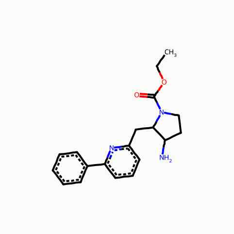 CCOC(=O)N1CCC(N)C1Cc1cccc(-c2ccccc2)n1